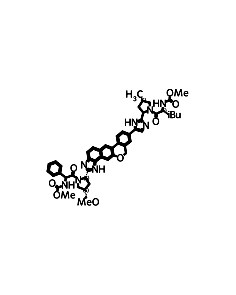 CCC(C)[C@H](NC(=O)OC)C(=O)N1C[C@@H](C)CC1c1ncc(-c2ccc3c(c2)COc2cc4c(ccc5nc([C@@H]6C[C@H](COC)CN6C(=O)C(NC(=O)OC)c6ccccc6)[nH]c54)cc2-3)[nH]1